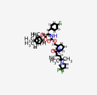 CC1(C)[C@@H]2C[C@H]3OB([C@H](Cc4ccc(F)cc4)NC(=O)OCC45CCC(CC4)N5C(=O)C(C#N)CC(C)(C)N4CCC(F)(F)C4)O[C@@]3(C)[C@H]1C2